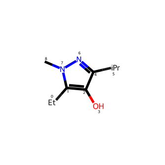 CCc1c(O)c(C(C)C)nn1C